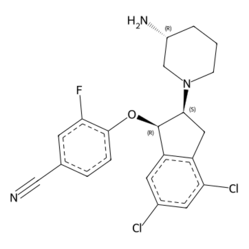 N#Cc1ccc(O[C@@H]2c3cc(Cl)cc(Cl)c3C[C@@H]2N2CCC[C@@H](N)C2)c(F)c1